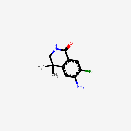 CC1(C)CNC(=O)c2cc(Br)c(N)cc21